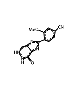 COc1cc(C#N)ccc1-c1nc2c[nH][nH]c(=O)c-2n1